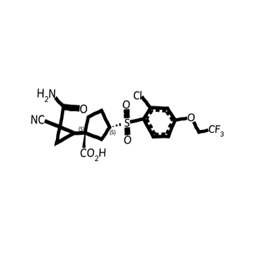 N#CC1(C(N)=O)CC1[C@]1(C(=O)O)CC[C@H](S(=O)(=O)c2ccc(OCC(F)(F)F)cc2Cl)C1